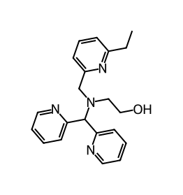 CCc1cccc(CN(CCO)C(c2ccccn2)c2ccccn2)n1